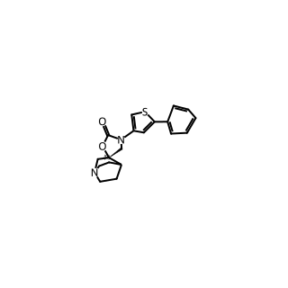 O=C1O[C@]2(CN3CCC2CC3)CN1c1csc(-c2ccccc2)c1